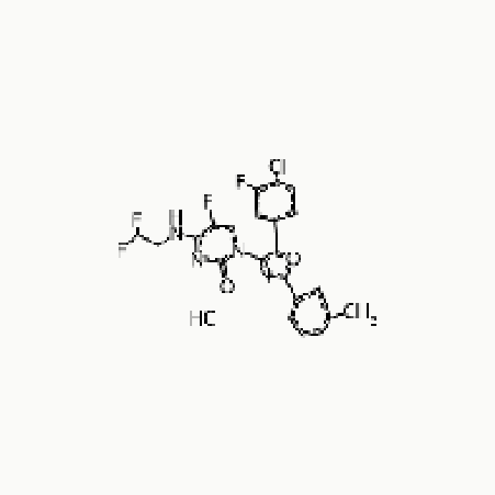 Cc1cccc(-c2nc(-n3cc(F)c(NCC(F)F)nc3=O)c(-c3ccc(Cl)c(F)c3)o2)c1.Cl